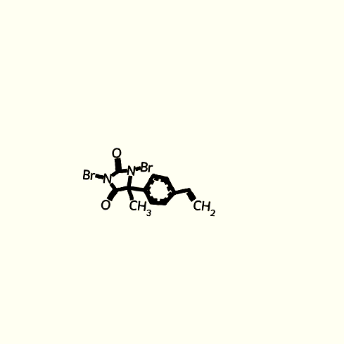 C=Cc1ccc(C2(C)C(=O)N(Br)C(=O)N2Br)cc1